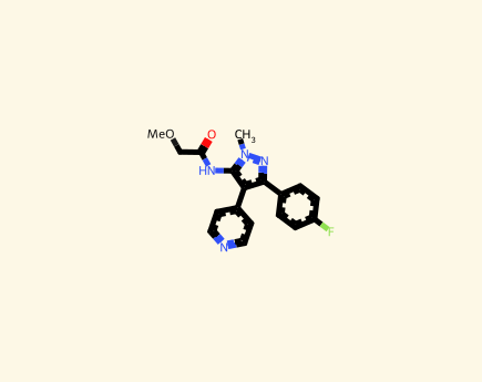 COCC(=O)Nc1c(-c2ccncc2)c(-c2ccc(F)cc2)nn1C